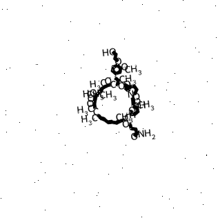 CO[C@@H]1C[C@H](C[C@@H](C)[C@@H]2CC(=O)[C@H](C)/C=C(\C)[C@@H](O)[C@@H](OC)C(=O)[C@H](C)C[C@H](C)/C=C/C=C/C=C(\C)[C@@H](OCCCC(N)=O)C[C@@H]3CC[C@@H](C)[C@@](O)(O3)C(=O)C(=O)N3CCCC[C@H]3C(=O)O2)CC[C@H]1OCCO